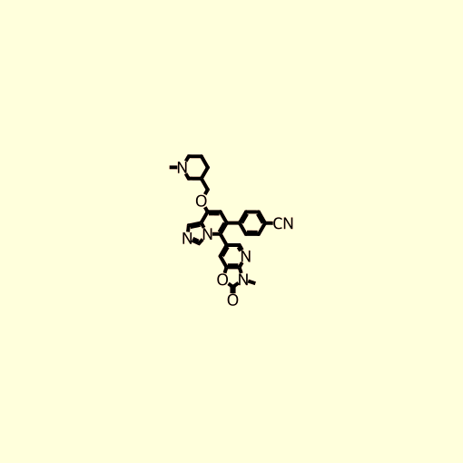 CN1CCCC(COc2cc(-c3ccc(C#N)cc3)c(-c3cnc4c(c3)oc(=O)n4C)n3cncc23)C1